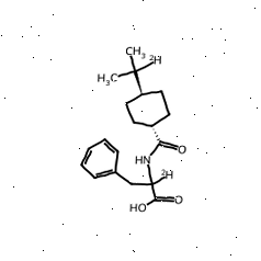 [2H]C(Cc1ccccc1)(NC(=O)[C@H]1CC[C@H](C([2H])(C)C)CC1)C(=O)O